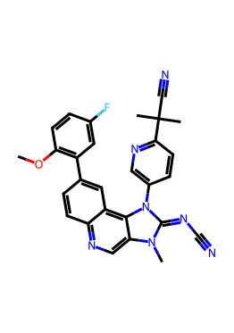 COc1ccc(F)cc1-c1ccc2ncc3c(c2c1)n(-c1ccc(C(C)(C)C#N)nc1)c(=NC#N)n3C